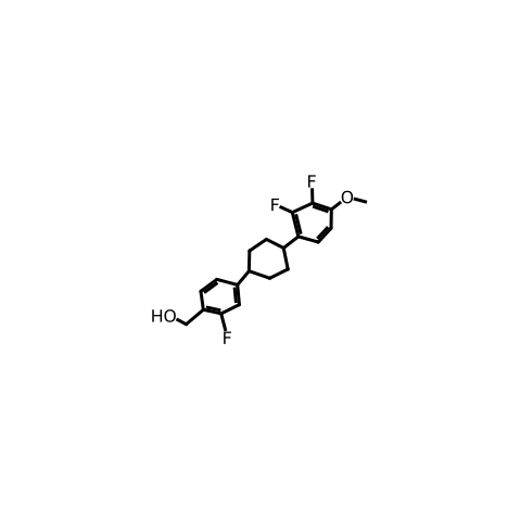 COc1ccc(C2CCC(c3ccc(CO)c(F)c3)CC2)c(F)c1F